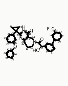 O=C([C@H](O)c1cccc(-c2cccc(C(F)(F)F)c2)c1)N1CCCc2nc(C3(c4cccc(Oc5ccccc5)c4)CC3)[nH]c(=O)c2C1